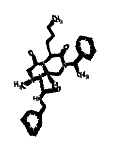 CCCC[C@H]1C(=O)N(C(C)c2ccccc2)C[C@H]2N1C(=O)CN(C)N2C(=O)NCc1ccccc1